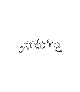 COc1cc(CNC(=O)c2cc3c(=O)n(Cc4ccc(C(=O)OC(C)(C)C)cc4)cnc3cn2)ccn1